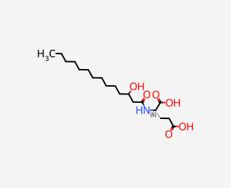 CCCCCCCCCCCC(O)CC(=O)N[C@@H](CCC(=O)O)C(=O)O